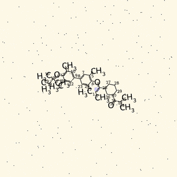 C/C=C(/Oc1c(C)cc(-c2cc(C)c(OC(C)(C)CC)c(C)c2)cc1C)C1CCCC(C(=O)C(C)C)C1